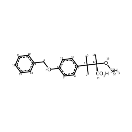 CC(C)(c1ccc(OCc2ccccc2)cc1)[C@](C)(O[SiH3])C(=O)O